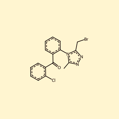 Cc1nnc(CBr)n1-c1ccccc1C(=O)c1ccccc1Cl